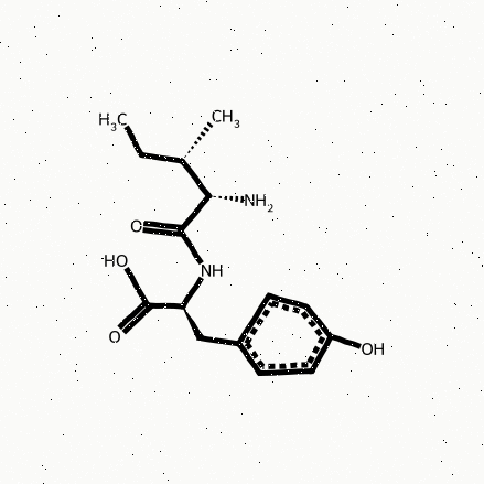 CC[C@H](C)[C@H](N)C(=O)N[C@@H](Cc1ccc(O)cc1)C(=O)O